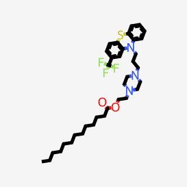 CCCCCCCCCCCCC(=O)OCCN1CCN(CCCN2c3ccccc3Sc3ccc(C(F)(F)F)cc32)CC1